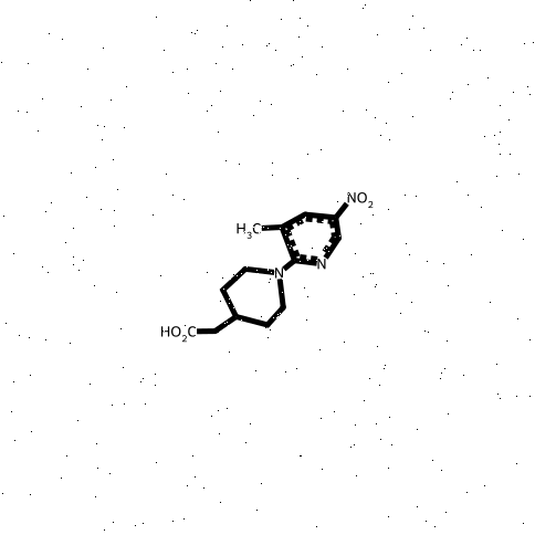 Cc1cc([N+](=O)[O-])cnc1N1CCC(CC(=O)O)CC1